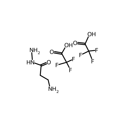 NCCC(=O)NN.O=C(O)C(F)(F)F.O=C(O)C(F)(F)F